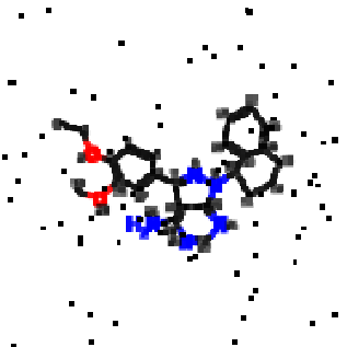 CCOc1ccc(-c2nn(C3CCCc4ccccc43)c3ncnc(N)c23)cc1OC